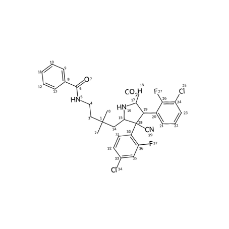 CC(C)(CCNC(=O)c1ccccc1)CC1NC(C(=O)O)C(c2cccc(Cl)c2F)C1(C#N)c1ccc(Cl)cc1F